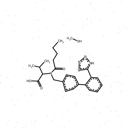 CCCCC(=O)N(Cc1ccc(-c2ccccc2-c2nnn[nH]2)cc1)C(C(=O)O)C(C)C.CO